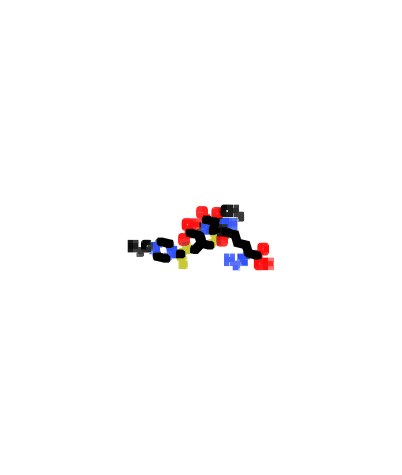 CO[C@@]1(NC(=O)CCCC(N)C(=O)O)C(=O)N2C(C(=O)O)=C(CSC(=S)N3CCN(C)CC3)CS[C@H]21